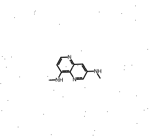 CNc1cnc2c(NC)ccnc2c1